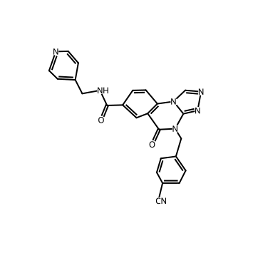 N#Cc1ccc(Cn2c(=O)c3cc(C(=O)NCc4ccncc4)ccc3n3cnnc23)cc1